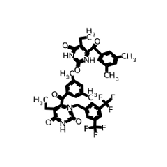 CCc1c(C(=O)c2cc(C)cc(C)c2)[nH]c(=O)[nH]c1=O.CCc1c(C(=O)c2cc(C)cc(C)c2)n(Cc2cc(C(F)(F)F)cc(C(F)(F)F)c2)c(=O)[nH]c1=O